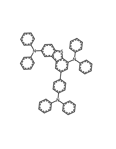 c1ccc(N(c2ccccc2)c2ccc(-c3cc(N(c4ccccc4)c4ccccc4)c4sc5ccc(N(c6ccccc6)c6ccccc6)cc5c4c3)cc2)cc1